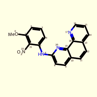 COc1cccc(Nc2ccc3ccc4cccnc4c3n2)c1[N+](=O)[O-]